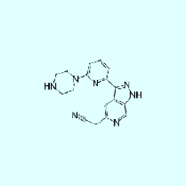 N#CCc1cc2c(-c3cccc(N4CCNCC4)n3)n[nH]c2cn1